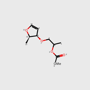 COC(=O)OC(C)CO[C@@H]1C=CO[C@@H]1C